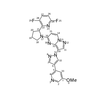 COc1cncc(-c2cnn(-c3cnn4ccc(N5CCCC5c5nc(F)ccc5F)nc34)c2)c1